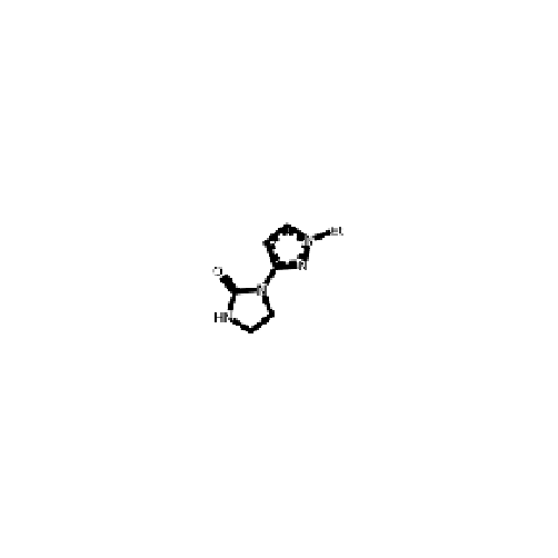 CCn1ccc(N2CCNC2=O)n1